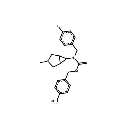 C=C(NCc1ccc(OCC(C)C)cc1)N(Cc1ccc(F)cc1)C1C2CN(C)CC21